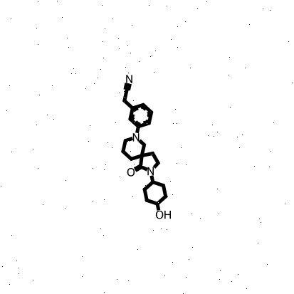 N#CCc1cccc(N2CCCC3(CCN(C4CCC(O)CC4)C3=O)C2)c1